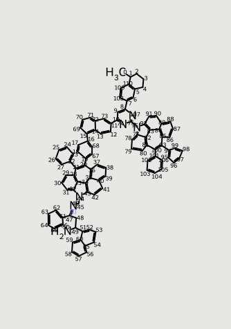 CC1CCCc2cc(-c3cc(-c4ccc5c(-c6ccc(C7=C(c8ccccc8)c8cccc9c8c8c%10c7cccc%10ccc8n9C/N=C(\CC(N)c7cccc8ccccc78)c7ccccc7)cc6)cccc5c4)nc(-n4c5cccc6c5c5c7c(cccc7ccc54)C(c4ccccc4)=C6c4ccccc4)n3)ccc21